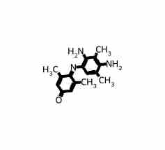 CC1=CC(=O)C=C(C)C1=Nc1cc(C)c(N)c(C)c1N